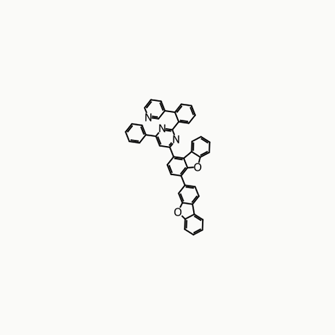 c1ccc(-c2cc(-c3ccc(-c4ccc5c(c4)oc4ccccc45)c4oc5ccccc5c34)nc(-c3ccccc3-c3cccnc3)n2)cc1